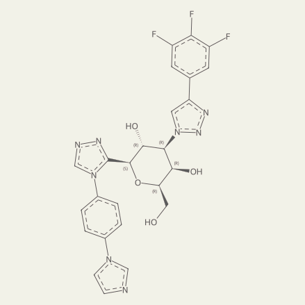 OC[C@H]1O[C@@H](c2nncn2-c2ccc(-n3ccnc3)cc2)[C@H](O)[C@@H](n2cc(-c3cc(F)c(F)c(F)c3)nn2)[C@H]1O